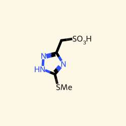 [CH2]Sc1nc(CS(=O)(=O)O)n[nH]1